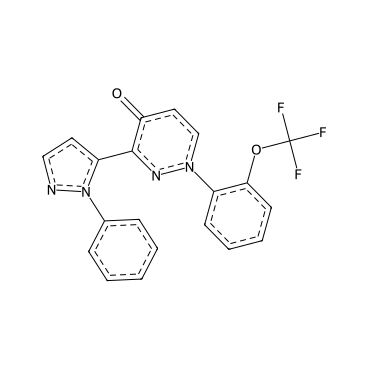 O=c1ccn(-c2ccccc2OC(F)(F)F)nc1-c1ccnn1-c1ccccc1